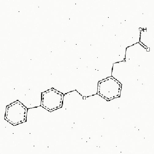 O=C(O)CSCc1cccc(OCc2ccc(-c3ccccc3)cc2)c1